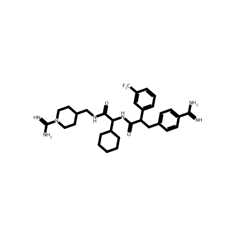 N=C(N)c1ccc(CC(C(=O)NC(C(=O)NCC2CCN(C(=N)N)CC2)C2CCCCC2)c2cccc(C(F)(F)F)c2)cc1